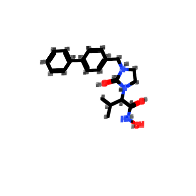 CC(C)C(C(=O)NO)N1CCN(Cc2ccc(-c3ccccc3)cc2)C1=O